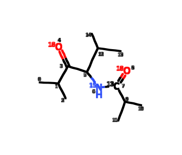 CC(C)C(=[18O])C([15NH][13C](=[18O])C(C)C)C(C)C